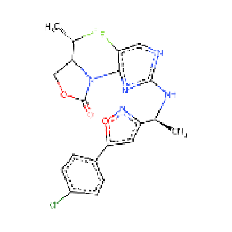 C[C@H](Nc1ncc(F)c(N2C(=O)OCC2[C@H](C)F)n1)c1cc(-c2ccc(Cl)cc2)on1